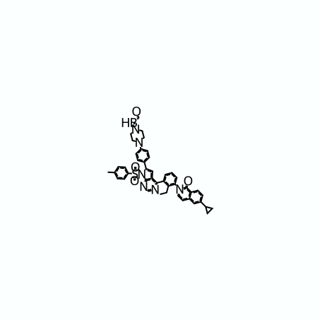 CCc1c(-c2ncnc3c2cc(-c2ccc(N4CCN(BC=O)CC4)cc2)n3S(=O)(=O)c2ccc(C)cc2)cccc1-n1ccc2cc(C3CC3)ccc2c1=O